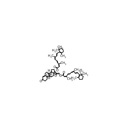 CC(C=CC1=C(C)CCCC1(C)C)=CC=CC(C)=CC(=O)OCC(=O)[C@]1(OC(=O)C=C(C)C=CC=C(C)C=CC2=C(C)CCCC2(C)C)CC[C@H]2[C@@H]3CCC4=CC(=O)CC[C@]4(C)[C@H]3CC[C@@]21C